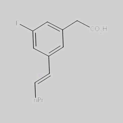 CCC/C=C/c1cc(F)cc(CC(=O)O)c1